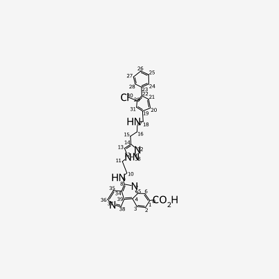 O=C(O)c1ccc2c(c1)nc(NCCn1cc(CCNCc3ccc(-c4ccccc4)c(Cl)c3)nn1)c1ccncc12